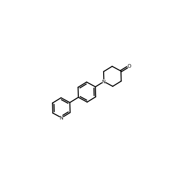 O=C1CCN(c2ccc(-c3cccnc3)cc2)CC1